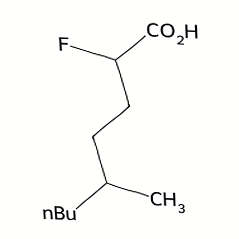 CCCCC(C)CCC(F)C(=O)O